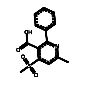 Cc1cc(S(C)(=O)=O)c(C(=O)O)c(-c2ccccc2)n1